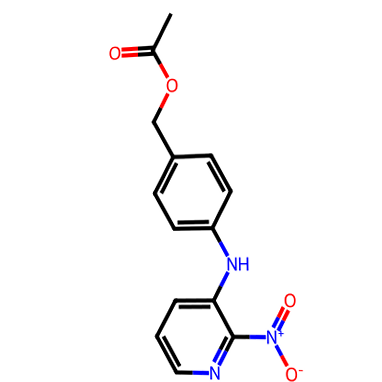 CC(=O)OCc1ccc(Nc2cccnc2[N+](=O)[O-])cc1